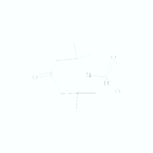 CC1(C)CC(=O)CC(C)(C)N1[SH](=O)=O